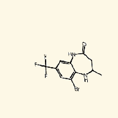 CC1CC(=O)Nc2cc(C(F)(F)F)cc(Br)c2N1